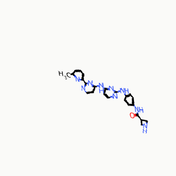 Cc1cccc(-c2nccc(Nc3ccnc(Nc4ccc(NC(=O)C5CNC5)cc4)n3)n2)n1